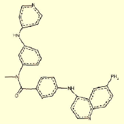 CN(C(=O)c1ccc(Nc2ccnc3ccc(P)cc23)cc1)c1cccc(Nc2ccncc2)c1